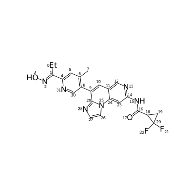 CCC(=NO)c1cc(C)c(-c2cc3cnc(NC(=O)C4CC4(F)F)cc3n3ccnc23)cn1